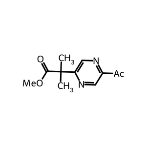 COC(=O)C(C)(C)c1cnc(C(C)=O)cn1